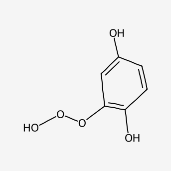 OOOc1cc(O)ccc1O